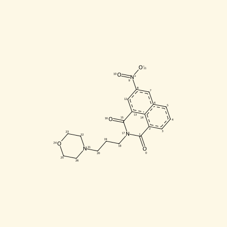 O=C1c2cccc3cc([N+](=O)[O-])cc(c23)C(=O)N1CCCN1CCOCC1